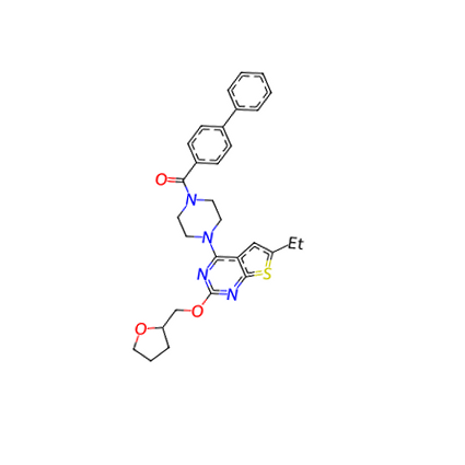 CCc1cc2c(N3CCN(C(=O)c4ccc(-c5ccccc5)cc4)CC3)nc(OCC3CCCO3)nc2s1